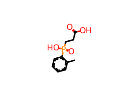 Cc1ccccc1P(=O)(O)CCC(=O)O